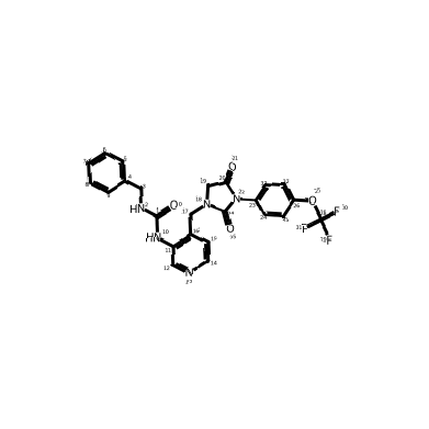 O=C(NCc1ccccc1)Nc1cnccc1CN1CC(=O)N(c2ccc(OC(F)(F)F)cc2)C1=O